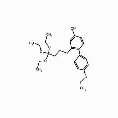 CCOc1ccc(-c2ccc(O)cc2CCC[Si](OCC)(OCC)OCC)cc1